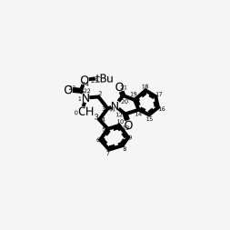 CN(CC(Cc1ccccc1)N1C(=O)c2ccccc2C1=O)C(=O)OC(C)(C)C